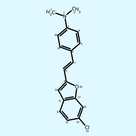 CN(C)c1ccc(/C=C/c2cc3ccc(Cl)cc3o2)cc1